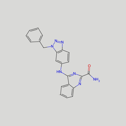 NC(=O)c1nc(Nc2ccc3nnn(Cc4ccccc4)c3c2)c2c[c]ccc2n1